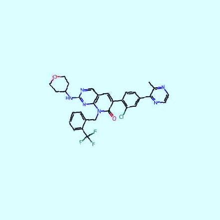 Cc1nccnc1-c1ccc(-c2cc3cnc(NC4CCOCC4)nc3n(Cc3ccccc3C(F)(F)F)c2=O)c(Cl)c1